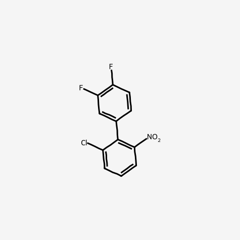 O=[N+]([O-])c1cccc(Cl)c1-c1ccc(F)c(F)c1